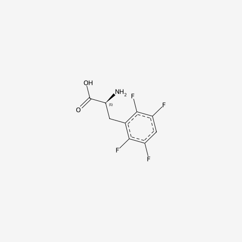 N[C@@H](Cc1c(F)c(F)cc(F)c1F)C(=O)O